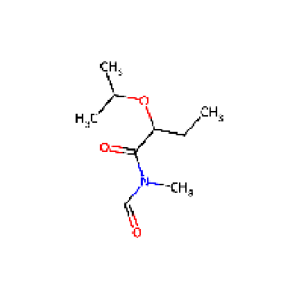 CCC(OC(C)C)C(=O)N(C)C=O